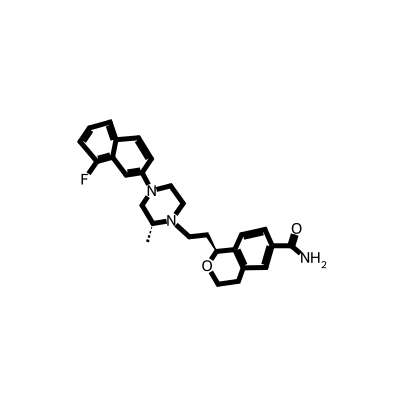 C[C@@H]1CN(c2ccc3cccc(F)c3c2)CCN1CC[C@@H]1OCCc2cc(C(N)=O)ccc21